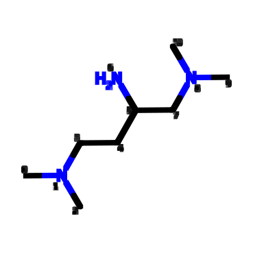 CN(C)CCC(N)CN(C)C